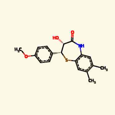 COc1ccc([C@H]2Sc3cc(C)c(C)cc3NC(=O)[C@H]2O)cc1